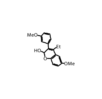 CCC1=C(c2cccc(OC)c2)C(O)Oc2ccc(OC)cc21